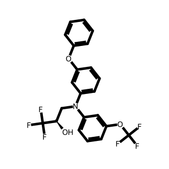 O[C@H](CN(c1cccc(Oc2ccccc2)c1)c1cccc(OC(F)(F)F)c1)C(F)(F)F